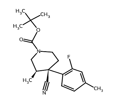 Cc1ccc([C@@]2(C#N)CCN(C(=O)OC(C)(C)C)C[C@@H]2C)c(F)c1